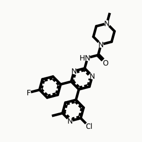 Cc1cc(-c2cnc(NC(=O)N3CCN(C)CC3)nc2-c2ccc(F)cc2)cc(Cl)n1